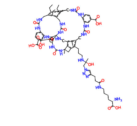 CCc1c2c(CC)c3c(CC)c1CNC(=O)Nc1ccc(C(=O)O)cc1NC(=O)C1(NCc4c(C)c(c(CCCNC(C)(O)Cn5cc(CCC(=O)NCCCC[C@H](N)C(=O)O)nn5)c5c4C(C)(C5)NC(=O)Nc4cc(C(=O)O)ccc41)CNC(=O)Nc1cc(C(=O)O)ccc1NC(=O)NC2)NC(=O)NC3